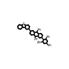 CC(C)c1cc(C(C)C)c(-c2ccc3c(C(C)C)c4cc(-c5ccc6sc7ccccc7c6c5)ccc4c(C(C)C)c3c2)c(C(C)C)c1